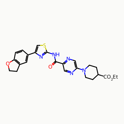 CCOC(=O)C1CCN(c2cnc(C(=O)Nc3nc(-c4ccc5c(c4)CCO5)cs3)cn2)CC1